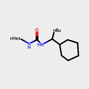 CCCCCCNC(=O)NC(CCCC)C1CCCCC1